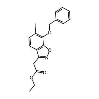 CCOC(=O)Cc1noc2c(OCc3ccccc3)c(I)ccc12